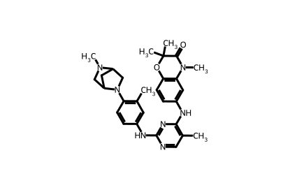 Cc1cc(Nc2ncc(C)c(Nc3ccc4c(c3)N(C)C(=O)C(C)(C)O4)n2)ccc1N1CC2CC1CN2C